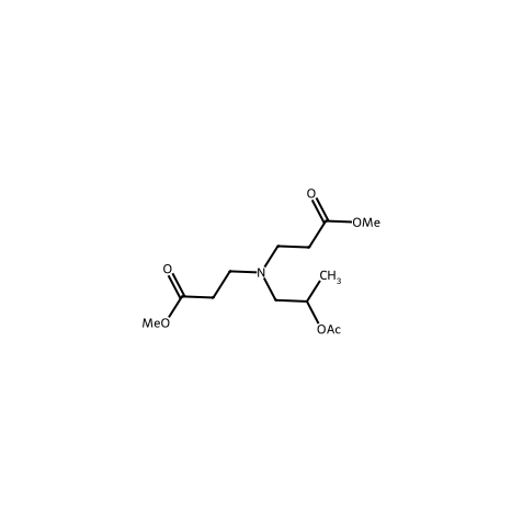 COC(=O)CCN(CCC(=O)OC)CC(C)OC(C)=O